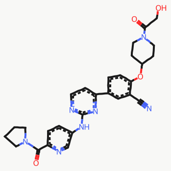 N#Cc1cc(-c2ccnc(Nc3ccc(C(=O)N4CCCC4)nc3)n2)ccc1OC1CCN(C(=O)CO)CC1